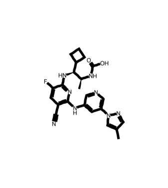 Cc1cnn(-c2cncc(Nc3nc(N[C@@H](C4CCC4)[C@H](C)NC(=O)O)c(F)cc3C#N)c2)c1